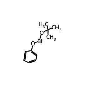 CC(C)(C)OBOc1ccccc1